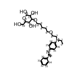 CCN(CCOCCCCCOC1C(O)[C@H](O)OC(CO)[C@H]1O)c1ccc(/N=N/c2ccccc2)cc1